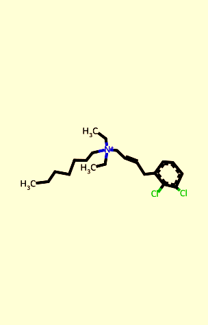 CCCCCCC[N+](CC)(CC)CC=CCc1cccc(Cl)c1Cl